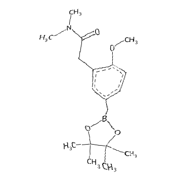 COc1ccc(B2OC(C)(C)C(C)(C)O2)cc1CC(=O)N(C)C